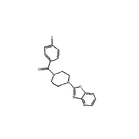 O=C(c1ccc(I)cc1)N1CCN(c2nc3ncccc3o2)CC1